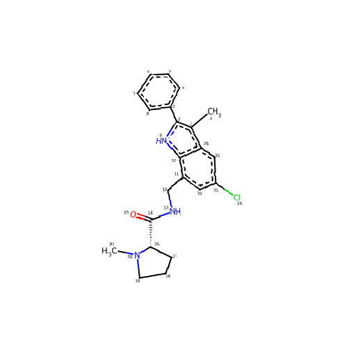 Cc1c(-c2ccccc2)[nH]c2c(CNC(=O)[C@@H]3CCCN3C)cc(Cl)cc12